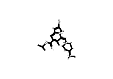 CC1=C(C(=O)OC(C)C)C=C2C=C(Br)CN2C1=CN1CCC(N(C)C)CC1